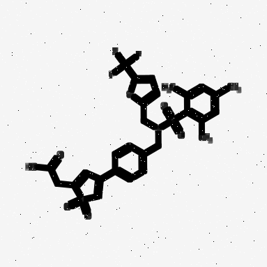 Cc1cc(C)c(S(=O)(=O)N(Cc2ccc(C3=CS(=O)(=O)C(CC(=O)O)=C3)cc2)Cc2ccc(C(F)(F)F)o2)c(C)c1